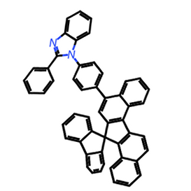 c1ccc(-c2nc3ccccc3n2-c2ccc(-c3cc4c(c5ccccc35)-c3ccc5ccccc5c3C43c4ccccc4-c4ccccc43)cc2)cc1